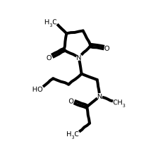 CCC(=O)N(C)CC(CCO)N1C(=O)CC(C)C1=O